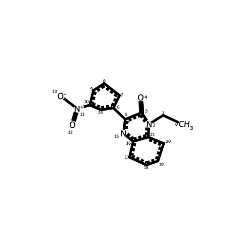 CCn1c(=O)c(-c2cccc([N+](=O)[O-])c2)nc2ccccc21